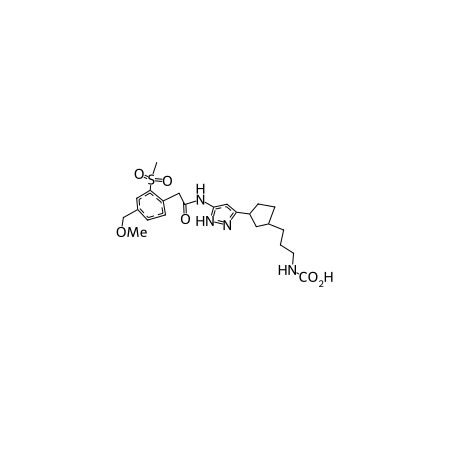 COCc1ccc(CC(=O)Nc2cc(C3CCC(CCCNC(=O)O)C3)n[nH]2)c(S(C)(=O)=O)c1